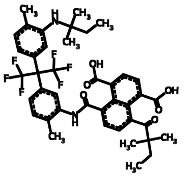 CCC(C)(C)Nc1cc(C(c2ccc(C)c(NC(=O)c3ccc(C(=O)C(C)(C)CC)c4c(C(=O)O)ccc(C(=O)O)c34)c2)(C(F)(F)F)C(F)(F)F)ccc1C